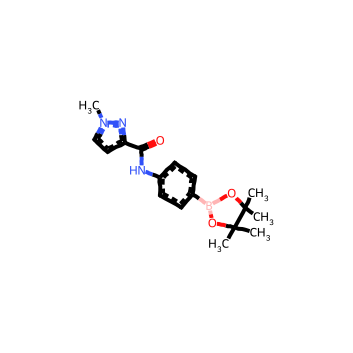 Cn1ccc(C(=O)Nc2ccc(B3OC(C)(C)C(C)(C)O3)cc2)n1